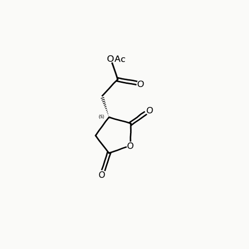 CC(=O)OC(=O)C[C@H]1CC(=O)OC1=O